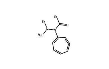 CCC(=O)N(C1=CC=CC=C=C1)N(C)CC